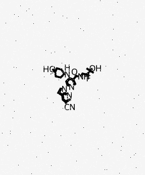 CC(C)(O)[C@H](F)CNC(=O)c1cnc(-n2ccc3cc(C#N)cnc32)cc1N[C@H]1CC[C@](C)(O)CC1